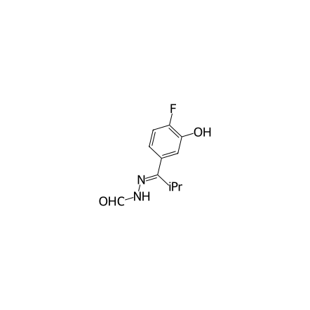 CC(C)/C(=N\NC=O)c1ccc(F)c(O)c1